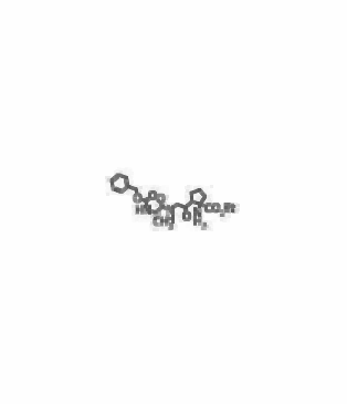 CCOC(=O)C1(N)CCCC1C(=O)CNC(=O)[C@H](C)NC(=O)OCc1ccccc1